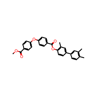 COC(=O)c1ccc(Oc2ccc(C(=O)Oc3ccc(-c4ccc(C)c(C)c4)cc3C)cc2)cc1